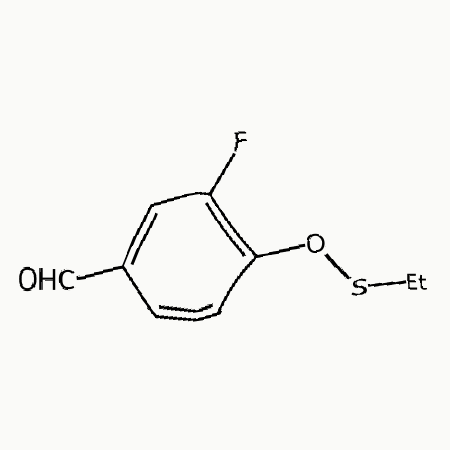 CCSOc1ccc(C=O)cc1F